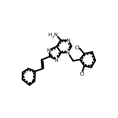 Nc1ncn(Cc2c(Cl)cccc2Cl)c2nc(/C=C/c3ccccc3)nc1-2